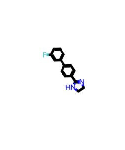 Fc1cccc(-c2ccc(C3=NCCN3)cc2)c1